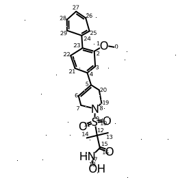 COc1cc(C2=CCN(S(=O)(=O)C(C)(C)C(=O)NO)CC2)ccc1-c1ccccc1